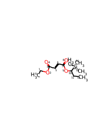 CCOC(=O)C=CC(=O)OC(CC)[Si](C)(C)C